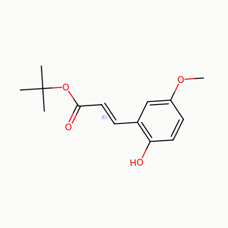 COc1ccc(O)c(/C=C/C(=O)OC(C)(C)C)c1